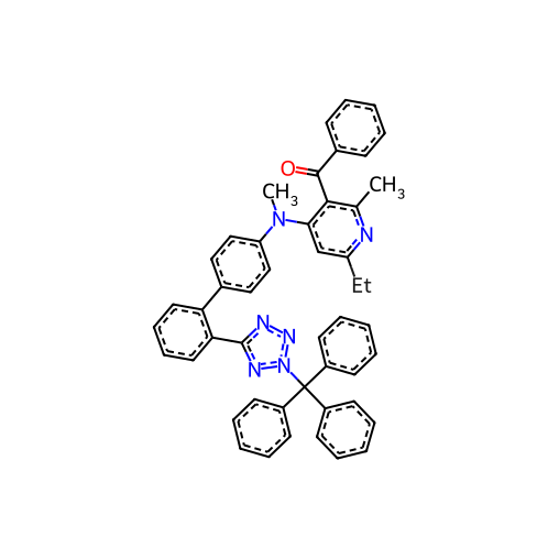 CCc1cc(N(C)c2ccc(-c3ccccc3-c3nnn(C(c4ccccc4)(c4ccccc4)c4ccccc4)n3)cc2)c(C(=O)c2ccccc2)c(C)n1